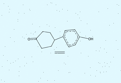 C=C.O=C1CCC(c2ccc(O)cc2)CC1